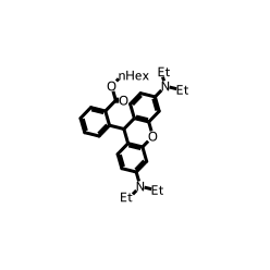 CCCCCCOC(=O)c1ccccc1C1c2ccc(N(CC)CC)cc2Oc2cc(N(CC)CC)ccc21